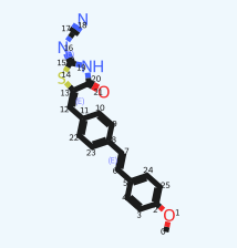 COc1ccc(/C=C/c2ccc(/C=C3/S/C(=N/C#N)NC3=O)cc2)cc1